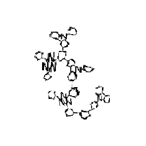 c1ccc(-c2nc(-c3cccc(-c4cccc(-c5ccc(-n6c7ccccc7c7ccccc76)cc5)c4)c3)nc(-c3cccc(-c4ccc5c6cc(-c7cc(-c8ccc9c(c8)c8ccccc8n9-c8ccccc8)cc(-c8nc(-c9ccccc9)nc(-c9ccccc9)n8)c7)ccc6n(-c6ccccc6)c5c4)c3)n2)cc1